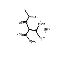 COC(=O)[C](C(=O)C(F)F)C(OC)OC.[NaH]